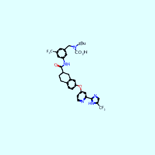 CC(C)(C)N(Cc1cc(NC(=O)C2CCc3ccc(Oc4ccnc(-c5ncc(C(F)(F)F)[nH]5)c4)cc3C2)cc(C(F)(F)F)c1)C(=O)O